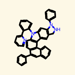 c1ccc(-c2cc3ccccc3c3c2ccc2c3c3cc4c(cc3n2-c2ccccc2-c2ccccn2)N(c2ccccc2)NC4)cc1